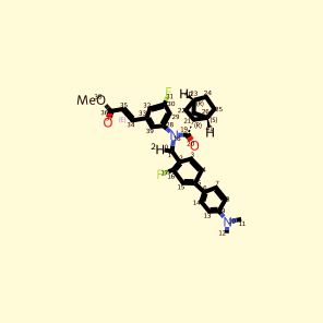 [2H]C(c1ccc(-c2ccc(N(C)C)cc2)cc1F)N(C(=O)[C@@H]1C[C@@H]2CC[C@H]1C2)c1cc(F)cc(/C=C/C(=O)OC)c1